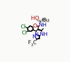 CC[C@H](C)[C@@H](CO)NC(=O)C1=C(C)Nc2cc(C(F)(F)F)nn2C1c1ccc(Cl)c(Cl)c1